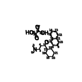 CN(C)CCC(Oc1cccc2ccccc12)C1CCCCC1.O=C(O)C(=O)O